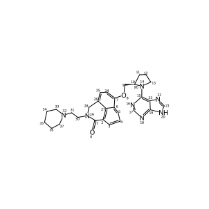 O=C1c2cccc3c(OC[C@H]4CCCN4c4ncnc5[nH]cnc45)ccc(c23)CN1CCN1CCCCC1